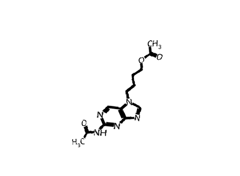 CC(=O)Nc1ncc2c(ncn2CCCCOC(C)=O)n1